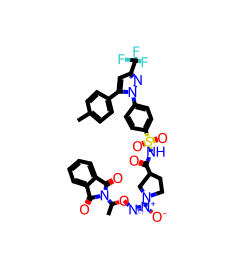 Cc1ccc(-c2cc(C(F)(F)F)nn2-c2ccc(S(=O)(=O)NC(=O)C3CCN(/[N+]([O-])=N\OC(C)N4C(=O)c5ccccc5C4=O)C3)cc2)cc1